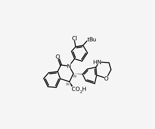 CC(C)(C)c1ccc(N2C(=O)c3ccccc3[C@H](C(=O)O)[C@H]2c2ccc3c(c2)NCCO3)cc1Cl